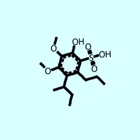 CCCc1c(C(C)CC)c(OC)c(OC)c(O)c1S(=O)(=O)O